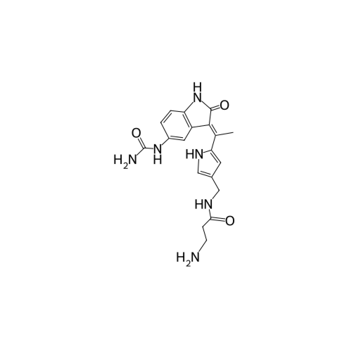 C/C(=C1\C(=O)Nc2ccc(NC(N)=O)cc21)c1cc(CNC(=O)CCN)c[nH]1